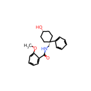 COc1ccccc1C(=O)NC[C@]1(c2ccccc2)CC[C@H](O)CC1